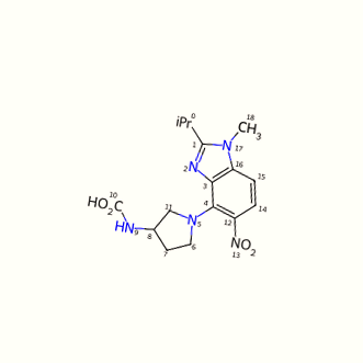 CC(C)c1nc2c(N3CCC(NC(=O)O)C3)c([N+](=O)[O-])ccc2n1C